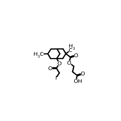 CC1CC2CC(OC(=O)CI)(C1)CC(C)(C(=O)OCCC(=O)O)C2